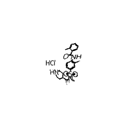 Cc1cc(S(=O)(=O)N(C)[C@H](C)C2CCNCC2)ccc1NC(=O)c1ccccc1C.Cl